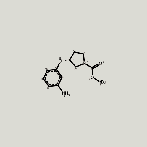 CC(C)(C)OC(=O)N1CC[C@@H](Oc2cccc(N)c2)C1